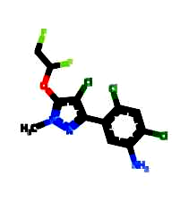 Cn1nc(-c2cc(N)c(Cl)cc2Cl)c(Cl)c1OC(F)CF